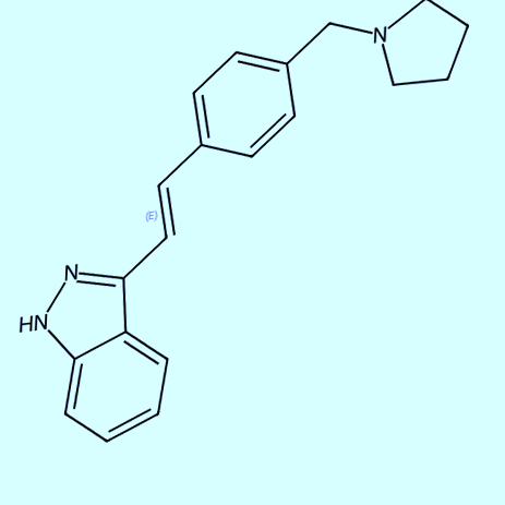 C(=C\c1n[nH]c2ccccc12)/c1ccc(CN2CCCC2)cc1